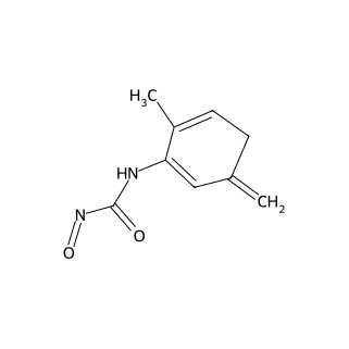 C=C1C=C(NC(=O)N=O)C(C)=CC1